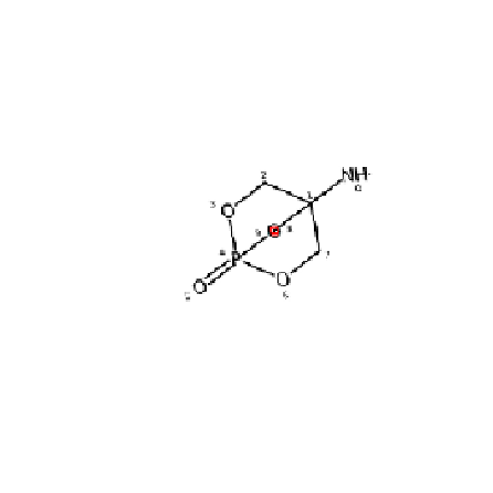 [NH]C12COP(=O)(OC1)OC2